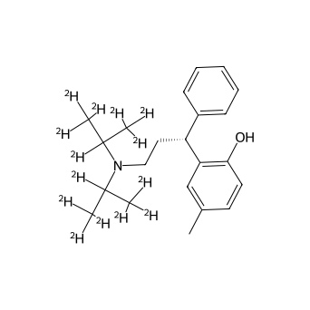 [2H]C([2H])([2H])C([2H])(N(CC[C@H](c1ccccc1)c1cc(C)ccc1O)C([2H])(C([2H])([2H])[2H])C([2H])([2H])[2H])C([2H])([2H])[2H]